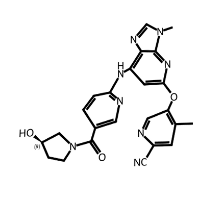 Cc1cc(C#N)ncc1Oc1cc(Nc2ccc(C(=O)N3CC[C@@H](O)C3)cn2)c2ncn(C)c2n1